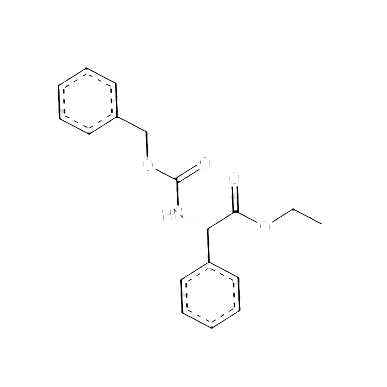 CCOC(=O)[C@@H](NC(=O)OCc1ccccc1)c1ccccc1